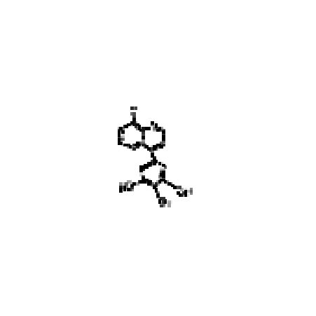 CC(C)c1c(O)cc(-c2ccnc3c(Cl)cccc23)cc1O